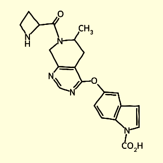 CC1Cc2c(ncnc2Oc2ccc3c(ccn3C(=O)O)c2)CN1C(=O)C1CCN1